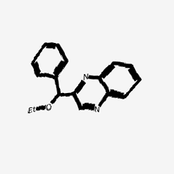 CCOC(c1ccccc1)c1cnc2ccccc2n1